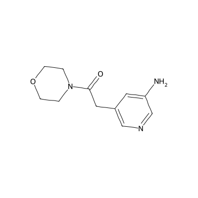 Nc1cncc(CC(=O)N2CCOCC2)c1